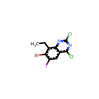 CCc1c(Br)c(I)cc2c(Cl)nc(Cl)nc12